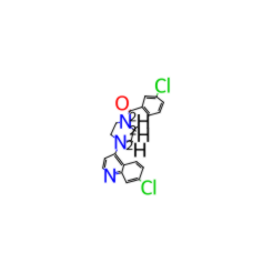 [2H]C1N(c2ccnc3cc(Cl)ccc23)CCN(C(=O)c2cccc(Cl)c2)C1([2H])[2H]